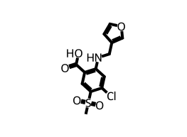 CS(=O)(=O)c1cc(C(=O)O)c(NCc2ccoc2)cc1Cl